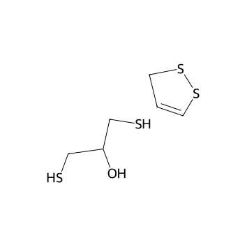 C1=CSSC1.OC(CS)CS